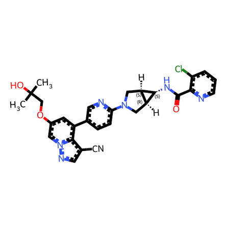 CC(C)(O)COc1cc(-c2ccc(N3C[C@@H]4[C@H](C3)[C@H]4NC(=O)c3ncccc3Cl)nc2)c2c(C#N)cnn2c1